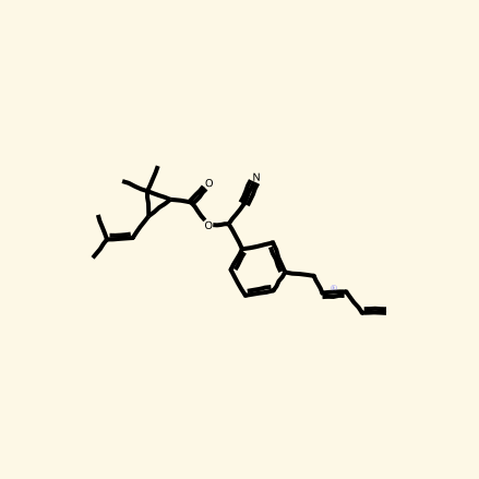 C=C/C=C/Cc1cccc(C(C#N)OC(=O)C2C(C=C(C)C)C2(C)C)c1